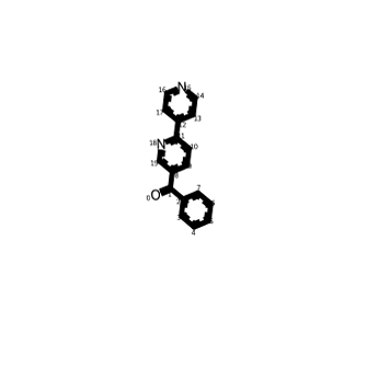 O=C(c1ccccc1)c1ccc(-c2ccncc2)nc1